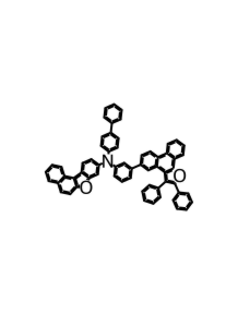 c1ccc(-c2ccc(N(c3cccc(-c4ccc5c6ccccc6c6oc(-c7ccccc7)c(-c7ccccc7)c6c5c4)c3)c3ccc4c(c3)oc3ccc5ccccc5c34)cc2)cc1